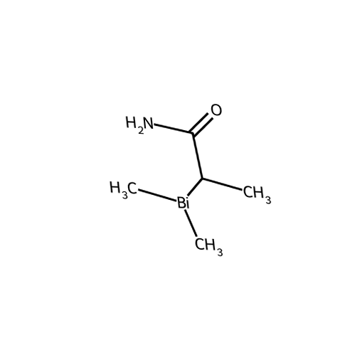 C[CH](C(N)=O)[Bi]([CH3])[CH3]